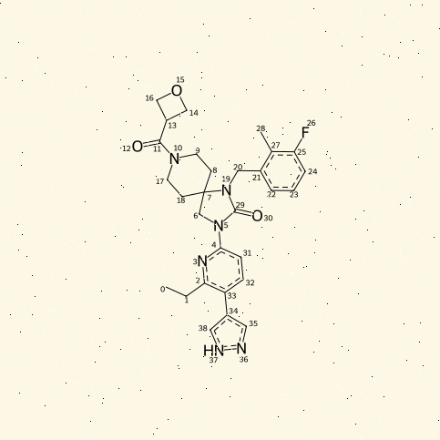 CCc1nc(N2CC3(CCN(C(=O)C4COC4)CC3)N(Cc3cccc(F)c3C)C2=O)ccc1-c1cn[nH]c1